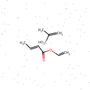 C=C(C)C(=O)O.C=COC(=O)C=CC